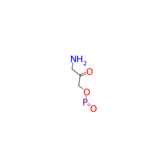 NCC(=O)COP=O